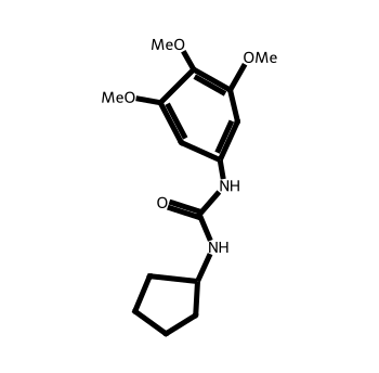 COc1cc(NC(=O)NC2CCCC2)cc(OC)c1OC